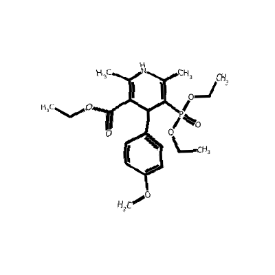 CCOC(=O)C1=C(C)NC(C)=C(P(=O)(OCC)OCC)C1c1ccc(OC)cc1